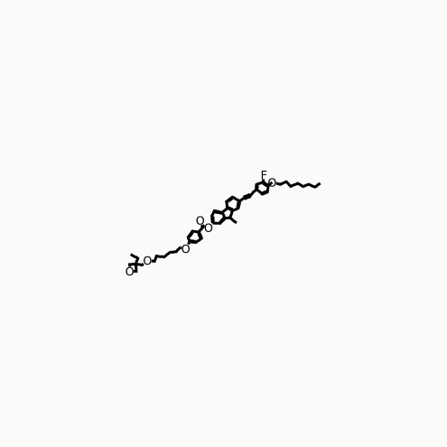 CCCCCCCCOc1ccc(C#Cc2ccc3c(c2)C(C)c2cc(OC(=O)c4ccc(OCCCCCCOCC5(CC)COC5)cc4)ccc2-3)cc1F